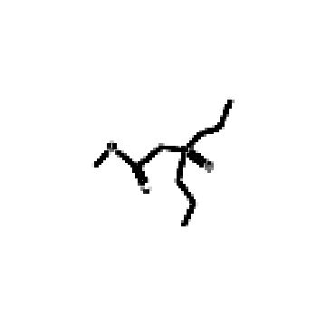 CCCP(=O)(CCC)CC(=O)OC